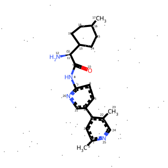 Cc1cc(-c2ccc(NC(=O)[C@@H](N)C3CCC(C)CC3)nc2)c(C)cn1